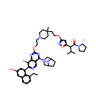 CCc1cccc2cc(O)cc(-c3ncc4c(N5CC6CCC(C5)N6)nc(OCCN5CCC(C)(CCOc6cc(C(C(=O)N7CCC[C@H]7C)C(C)C)on6)CC5)nc4c3F)c12